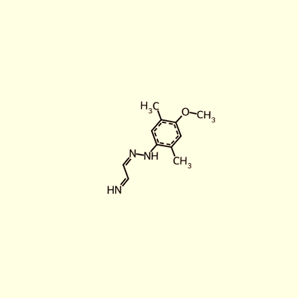 COc1cc(C)c(N/N=C\C=N)cc1C